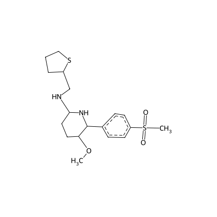 COC1CCC(NCC2CCCS2)NC1c1ccc(S(C)(=O)=O)cc1